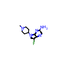 CN1CCC(n2cc(F)c3ncc(N)nc32)CC1